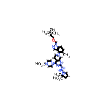 Cc1ccc2c(cnn2COCC[Si](C)(C)C)c1N1CCc2c(nc(NNN3CCC[C@@]3(C)C(=O)O)nc2N2CCN(C(=O)O)CC2)C1